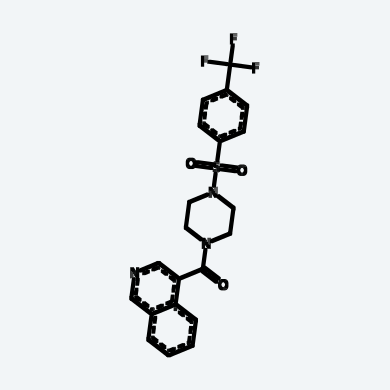 O=C(c1cncc2ccccc12)N1CCN(S(=O)(=O)c2ccc(C(F)(F)F)cc2)CC1